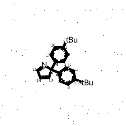 CC(C)(C)c1ccc(C2(c3ccc(C(C)(C)C)cc3)C=CC=N2)cc1